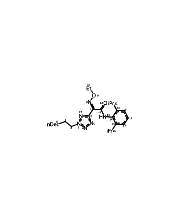 CCCCCCCCCCCCn1nnc(/C(=N/OCC)C(=O)Nc2c(C(C)C)cccc2C(C)C)n1